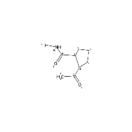 CC(=O)C1CCCC1C(=O)NI